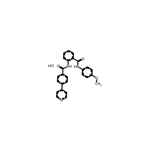 COc1ccc(NC(=O)c2ccccc2NC(=O)c2ccc(-c3ccncc3)cc2)cc1.Cl